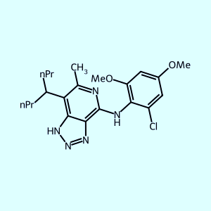 CCCC(CCC)c1c(C)nc(Nc2c(Cl)cc(OC)cc2OC)c2nn[nH]c12